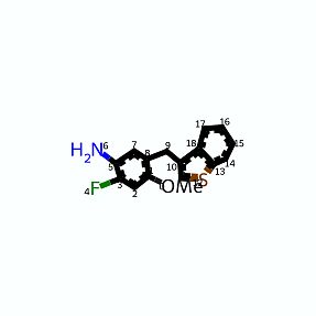 COc1cc(F)c(N)cc1Cc1csc2ccccc12